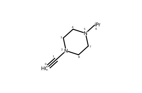 C#CN1CCN(C(C)C)CC1